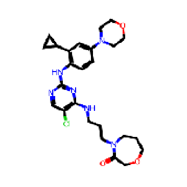 O=C1COCCCN1CCCNc1nc(Nc2ccc(N3CCOCC3)cc2C2CC2)ncc1Cl